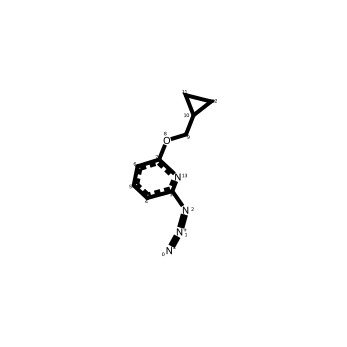 [N-]=[N+]=Nc1cccc(OCC2CC2)n1